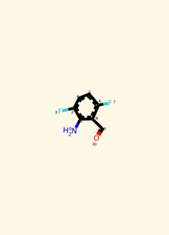 Nc1c(F)ccc(F)c1C=O